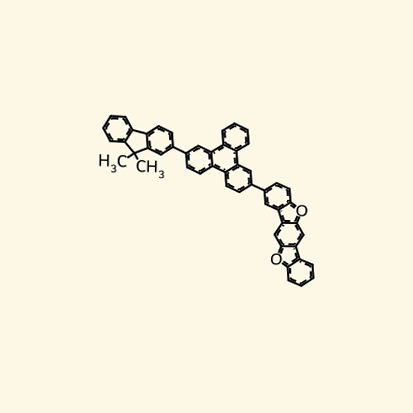 CC1(C)c2ccccc2-c2ccc(-c3ccc4c5ccc(-c6ccc7oc8cc9c(cc8c7c6)oc6ccccc69)cc5c5ccccc5c4c3)cc21